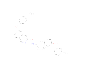 CC(C)(C)c1ccc(Oc2ccc3cnc(C(=O)N[C@@H](Cc4ccc(Oc5cccc(C(F)(F)F)c5)cc4)C(=O)O)cc3c2)cc1